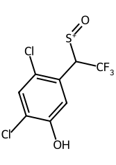 O=[S+]C(c1cc(O)c(Cl)cc1Cl)C(F)(F)F